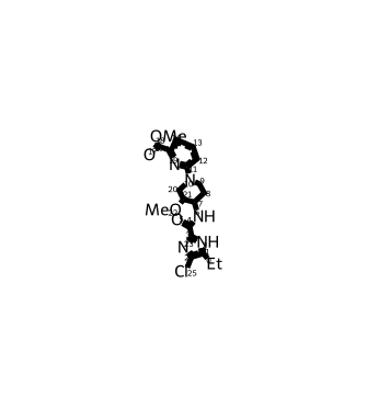 CCc1[nH]c(C(=O)NC2CCN(c3cccc(C(=O)OC)n3)CC2OC)nc1Cl